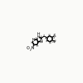 O=[N+]([O-])c1cnc2[nH]c(Cc3ccc(F)c(F)c3)nc2c1